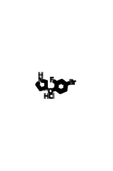 Cl.Fc1cc(Br)ccc1O[C@@H]1CCNC1